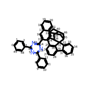 c1ccc(-c2nc(-c3ccccc3)nc(-c3cc4ccccc4cc3-c3cccc4c3C3(c5ccccc5-4)C4CC5CC(C4)CC3C5)n2)cc1